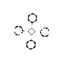 c1ccc([C@H]2[C@H](c3ccncn3)[C@H](c3ccccc3)[C@H]2c2ccncn2)cc1